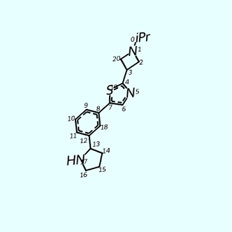 CC(C)N1CC(c2ncc(-c3cccc(C4CCCN4)c3)s2)C1